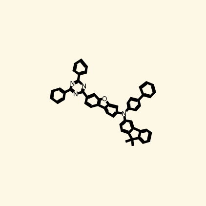 CC1(C)c2ccccc2-c2cc(N(c3ccc(-c4ccccc4)cc3)c3ccc4c(c3)oc3cc(-c5nc(-c6ccccc6)nc(-c6ccccc6)n5)ccc34)ccc21